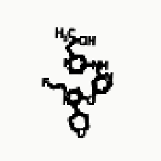 CC(O)Cc1cc(Nc2cc(Oc3cn(CCF)nc3C3CCOCC3)ccn2)ccn1